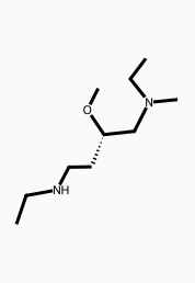 CCNCC[C@@H](CN(C)CC)OC